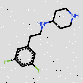 Fc1cc(F)cc(CCNC2CCNCC2)c1